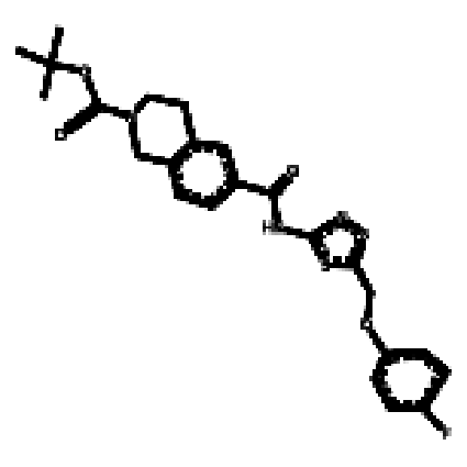 CC(C)(C)OC(=O)N1CCc2cc(C(=O)Nc3nnc(COc4ccc(F)cc4)s3)ccc2C1